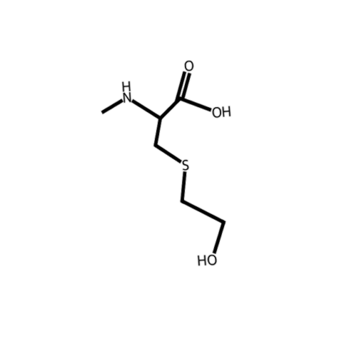 CNC(CSCCO)C(=O)O